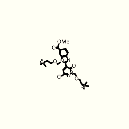 COC(=O)c1ccc2nc(-c3cc(Cl)nn(COCC[Si](C)(C)C)c3=O)n(COCC[Si](C)(C)C)c2c1